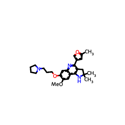 COc1cc2c3c(c(-c4coc(C)c4)nc2cc1OCCCN1CCCC1)CC(C)(C)N3